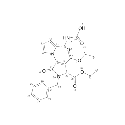 CCOC(=O)C1=C(n2cccc2CNC(=O)O)C(=O)N(Cc2ccccc2)C1C(=O)OCC